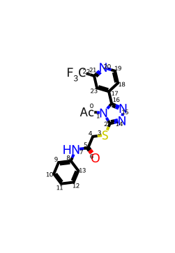 CC(=O)n1c(SCC(=O)Nc2ccccc2)nnc1-c1ccnc(C(F)(F)F)c1